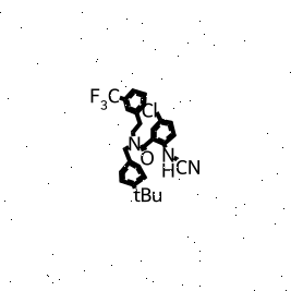 CC(C)(C)c1ccc(CN(CCc2cccc(C(F)(F)F)c2)C(=O)c2cc(Cl)ccc2NCC#N)cc1